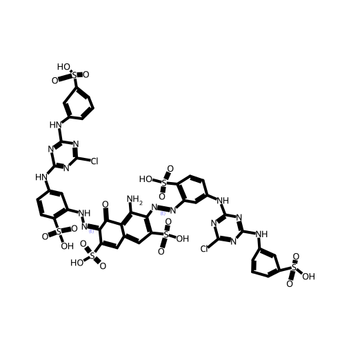 Nc1c(/N=N/c2cc(Nc3nc(Cl)nc(Nc4cccc(S(=O)(=O)O)c4)n3)ccc2S(=O)(=O)O)c(S(=O)(=O)O)cc2c1C(=O)/C(=N\Nc1cc(Nc3nc(Cl)nc(Nc4cccc(S(=O)(=O)O)c4)n3)ccc1S(=O)(=O)O)C(S(=O)(=O)O)=C2